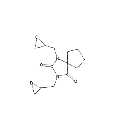 O=C1N(CC2CO2)C(=O)C2(CCCC2)N1CC1CO1